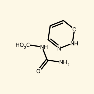 C1=CONN=C1.NC(=O)NC(=O)O